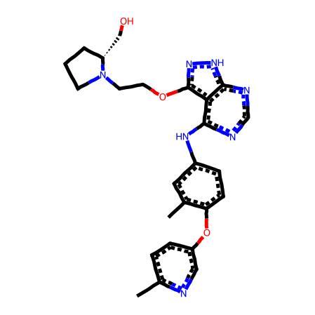 Cc1ccc(Oc2ccc(Nc3ncnc4[nH]nc(OCCN5CCC[C@@H]5CO)c34)cc2C)cn1